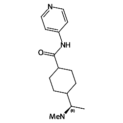 CN[C@H](C)C1CCC(C(=O)Nc2ccncc2)CC1